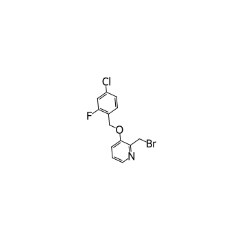 Fc1cc(Cl)ccc1COc1cccnc1CBr